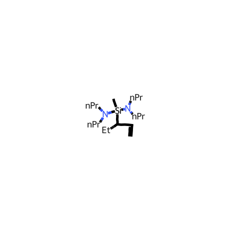 C=CC(CC)[Si](C)(N(CCC)CCC)N(CCC)CCC